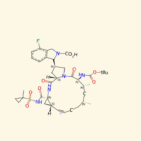 C[C@@H]1CC/C=C\[C@@H]2C[C@@]2(C(=O)NS(=O)(=O)C2(C)CC2)NC(=O)[C@@H]2C[C@@H](C3c4cccc(F)c4CN3C(=O)O)CN2C(=O)[C@@H](NC(=O)OC(C)(C)C)[C@H](C)C1